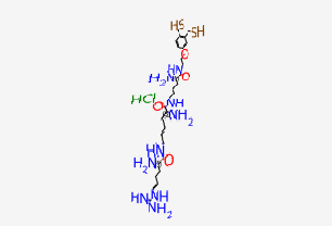 Cl.N=C(N)NCCCC[C@H](N)C(=O)NCCCC[C@H](N)C(=O)NCCCC[C@H](N)C(=O)NCCOc1ccc(CS)c(CS)c1